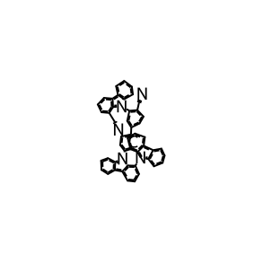 N#Cc1ccc(-c2ccc(-n3c4ccccc4c4cccc(-n5c6ccccc6c6ccccc65)c43)cc2)cc1-n1c2ccccc2c2cccc(C#N)c21